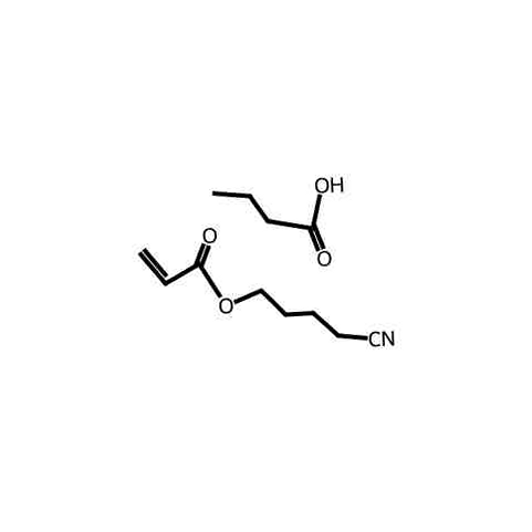 C=CC(=O)OCCCCC#N.CCCC(=O)O